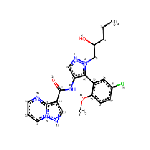 CCCC(O)Cn1ncc(NC(=O)c2cnn3cccnc23)c1-c1cc(Cl)ccc1OC